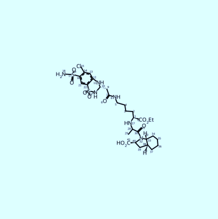 CCOC(=O)[C@H](CCCCNC(=O)C[C@H]1Nc2cc(Cl)c(S(N)(=O)=O)cc2S(=O)(=O)N1)NC(C)C(=O)N1[C@@H]2CCCC[C@@H]2C[C@H]1C(=O)O